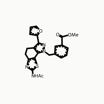 COC(=O)c1cccc(Cn2nc(-c3ccco3)c3c2-c2sc(NC(C)=O)nc2CC3)c1